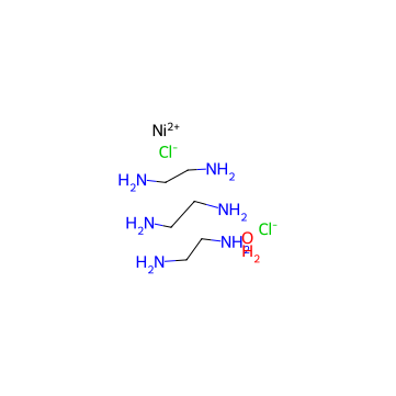 NCCN.NCCN.NCCN.O.[Cl-].[Cl-].[Ni+2]